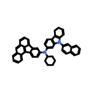 C1=Cc2c(c3ccc(N(c4ccc5c(c4)-c4cccc6cc7ccccc7c-5c46)C4CCCCC4)cc3n2-c2ccc3ccccc3c2)CC1